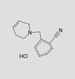 Cl.N#Cc1ccccc1CN1CC=CCC1